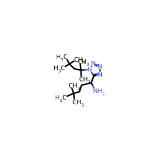 CC(C)(C)CCC(N)c1nnnn1C(C)(C)CC(C)(C)C